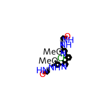 COc1cc(-c2nccc(-c3cccc(-c4ccc(CNC[C@H]5CCC(=O)N5)c(OC)n4)c3Cl)c2C)ccc1CNC[C@H]1CCC(=O)N1